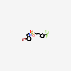 O=S(=O)(CC=Cc1cccc(C(F)(F)F)c1)n1ccc2c(Br)cccc21